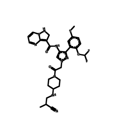 CSc1ccc(OC(F)F)c(-c2nn(CC(=O)N3CCC(NCC(C)C#N)CC3)cc2NC(=O)C2=C3N=CC=CN3NC2)c1